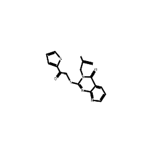 C=C(C)Cn1c(SCC(=O)c2cccs2)nc2ncccc2c1=O